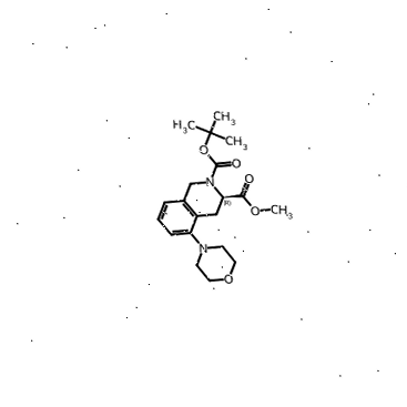 COC(=O)[C@H]1Cc2c(cccc2N2CCOCC2)CN1C(=O)OC(C)(C)C